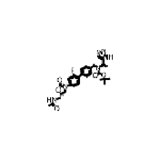 CC(=O)NC[C@H]1CN(c2ccc(-c3ccc(CN(C(=O)OC(C)(C)C)C(C)c4cnn[nH]4)cc3)c(F)c2)C(=O)O1